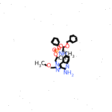 CCOCc1nc2c(N)nc3ccccc3c2n1C[C@@H](C)OP(=O)(N[C@@H](C)C(=O)OCc1ccccc1)Oc1ccccc1